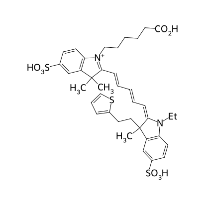 CCN1/C(=C/C=C/C=C/C2=[N+](CCCCCC(=O)O)c3ccc(S(=O)(=O)O)cc3C2(C)C)C(C)(CCc2cccs2)c2cc(S(=O)(=O)O)ccc21